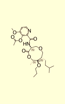 CCCO[C@@H]1[C@@H](CCC(C)C)COC[C@H](NC(=O)c2nccc(OC)c2OC(C)=O)C(=O)O[C@H]1C